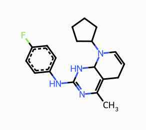 CC1=C2CC=CN(C3CCCC3)C2NC(Nc2ccc(F)cc2)=N1